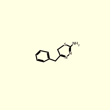 NC1=NN=C(Cc2ccccc2)CS1